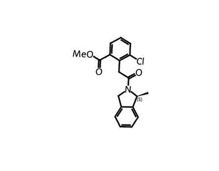 COC(=O)c1cccc(Cl)c1CC(=O)N1Cc2ccccc2[C@@H]1C